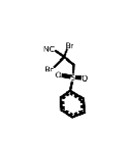 N#CC(Br)(Br)CS(=O)(=O)c1ccccc1